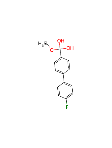 OC(O)(O[SiH3])c1ccc(-c2ccc(F)cc2)cc1